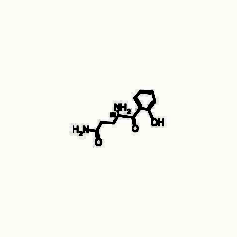 NC(=O)CC[C@H](N)C(=O)c1ccccc1O